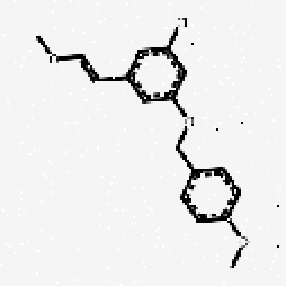 COC=Cc1cc(Cl)cc(OCc2ccc(OC)cc2)c1